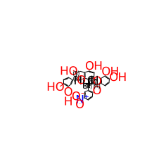 C[C@@H]1[C@@H]2c3cc([N+](=O)[O-])ccc3O[C@@]1(c1ccc(O)c(O)c1)Oc1cc(O)c3c(c12)O[C@H](c1ccc(O)c(O)c1)[C@@H](O)C3